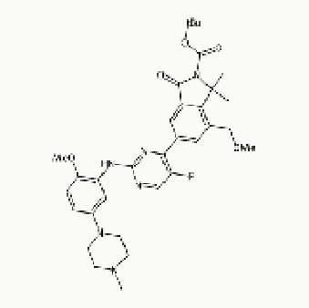 COCc1cc(-c2nc(Nc3cc(N4CCN(C)CC4)ccc3OC)ncc2F)cc2c1C(C)(C)N(C(=O)OC(C)(C)C)C2=O